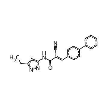 CCc1nnc(NC(=O)/C(C#N)=C/c2ccc(-c3ccccc3)cc2)s1